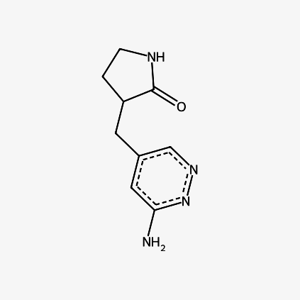 Nc1cc(CC2CCNC2=O)cnn1